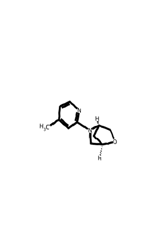 Cc1ccnc(N2C[C@H]3C[C@@H]2CO3)c1